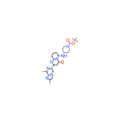 Cc1cn2cc(-c3cc(=O)n4c(NC5CCN(C(=O)OC(C)(C)C)CC5)cccc4n3)nc(C)c2n1